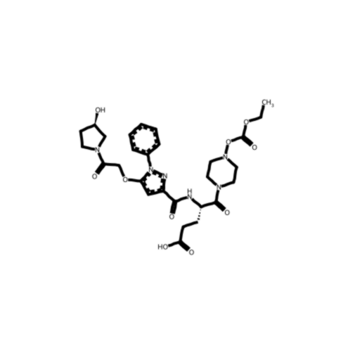 CCOC(=O)ON1CCN(C(=O)[C@H](CCC(=O)O)NC(=O)c2cc(OCC(=O)N3CC[C@@H](O)C3)n(-c3ccccc3)n2)CC1